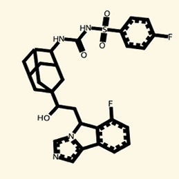 O=C(NC1C2CC3CC1CC(C(O)CC1c4c(F)cccc4-c4cncn41)(C3)C2)NS(=O)(=O)c1ccc(F)cc1